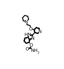 NC(=O)Oc1cccc2[nH]c(-c3cnccc3OCCN3CCCCC3)nc12